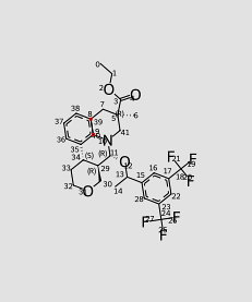 CCOC(=O)[C@]1(C)CCCN([C@H](OC(C)c2cc(C(F)(F)F)cc(C(F)(F)F)c2)[C@H]2COCC[C@@H]2c2ccccc2)C1